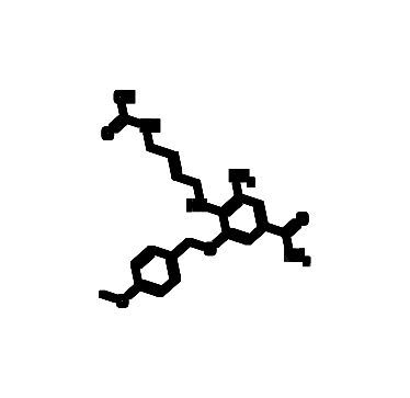 COc1ccc(COc2cc(C(N)=O)cc(N)c2NCC=CCNC(=O)O)cc1